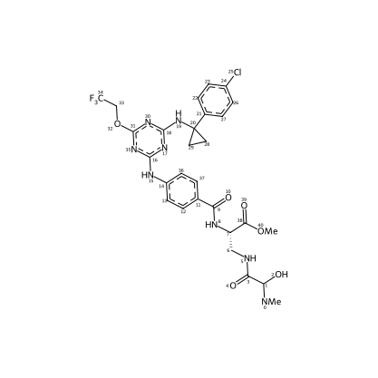 CNC(O)C(=O)NC[C@H](NC(=O)c1ccc(Nc2nc(NC3(c4ccc(Cl)cc4)CC3)nc(OCC(F)(F)F)n2)cc1)C(=O)OC